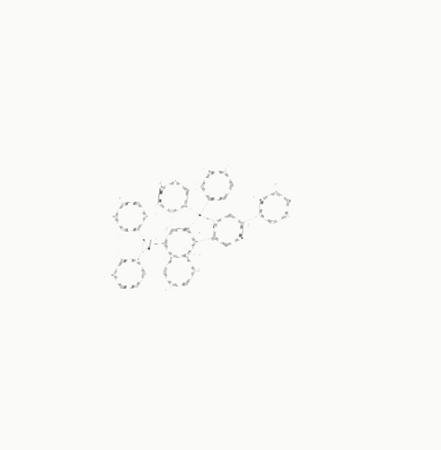 c1ccc(-c2ccc3c(c2)C(c2ccccc2)(c2ccccc2)c2cc(N(c4ccccc4)c4ccccc4)c4ccccc4c2-3)cc1